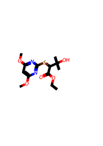 CCOC(=O)C(Sc1nc(OC)cc(OC)n1)C(C)(C)O